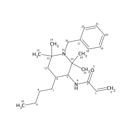 C=CC(=O)NC1C(CCCC)CC(C)(C)N(Cc2ccccc2)C1(C)C